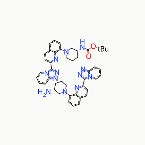 CC(C)(C)OC(=O)N[C@@H]1CCCN(c2cccc3ccc(-c4nnc5ccccn45)nc23)C1.N[C@@H]1CCCN(c2cccc3ccc(-c4nnc5ccccn45)nc23)C1